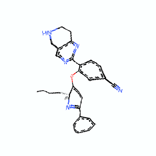 CCC[C@H]1N=C(c2ccccc2)C=C1Oc1cc(C#N)ccc1-c1ncc2c(n1)CCNC2